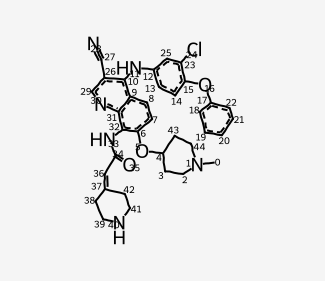 CN1CCC(Oc2ccc3c(Nc4ccc(Oc5ccccc5)c(Cl)c4)c(C#N)cnc3c2NC(=O)C=C2CCNCC2)CC1